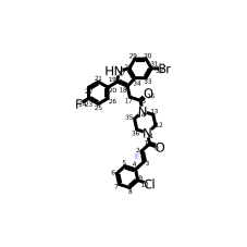 O=C(/C=C/c1ccccc1Cl)N1CCN(C(=O)Cc2c(-c3ccc(F)cc3)[nH]c3ccc(Br)cc23)CC1